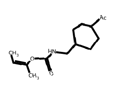 C/C=C(/C)OC(=O)NCC1CCC(C(C)=O)CC1